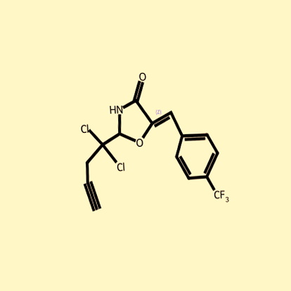 C#CCC(Cl)(Cl)C1NC(=O)/C(=C/c2ccc(C(F)(F)F)cc2)O1